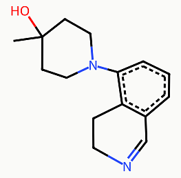 CC1(O)CCN(c2cccc3c2CCN=C3)CC1